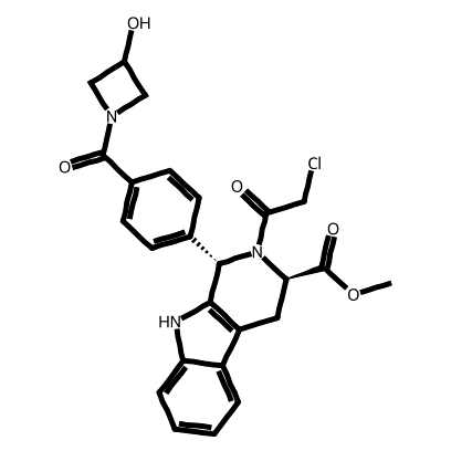 COC(=O)[C@H]1Cc2c([nH]c3ccccc23)[C@H](c2ccc(C(=O)N3CC(O)C3)cc2)N1C(=O)CCl